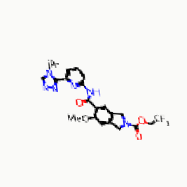 COc1cc2c(cc1C(=O)Nc1cccc(-c3nncn3C(C)C)n1)CN(C(=O)OCC(F)(F)F)C2